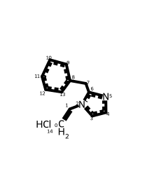 C=Cn1ccnc1Cc1ccccc1.Cl